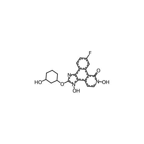 O=c1c2c3cc(F)ccc3c3nc(OC4CCCC(O)C4)n(O)c3c2ccn1O